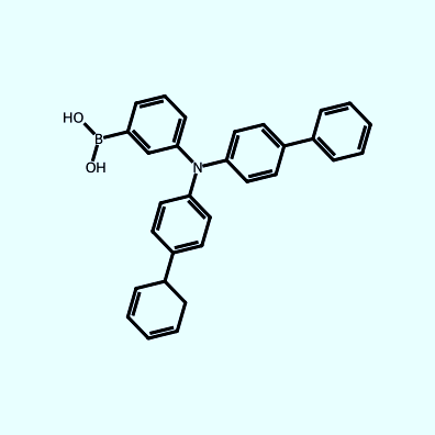 OB(O)c1cccc(N(c2ccc(-c3ccccc3)cc2)c2ccc(C3C=CC=CC3)cc2)c1